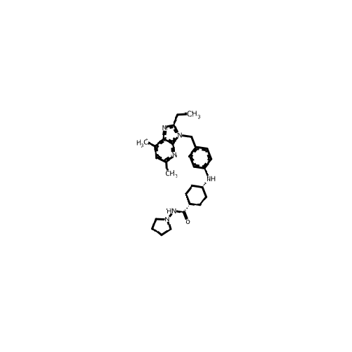 CCc1nc2c(C)cc(C)nc2n1Cc1ccc(N[C@H]2CC[C@@H](C(=O)NN3CCCC3)CC2)cc1